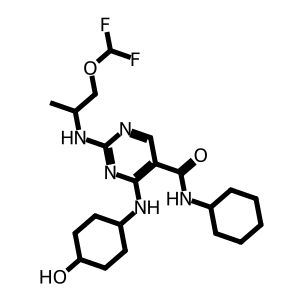 CC(COC(F)F)Nc1ncc(C(=O)NC2CCCCC2)c(NC2CCC(O)CC2)n1